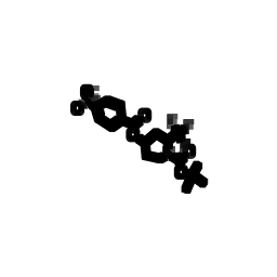 CC(C)(C)OC(=O)N1CCC(OC(=O)c2ccc([N+](=O)[O-])cc2)CC1C(F)(F)F